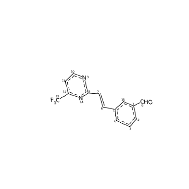 O=Cc1cccc(C=Cc2nccc(C(F)(F)F)n2)c1